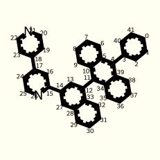 c1ccc(-c2c3ccccc3c(-c3cc(-c4cc(-c5ccncc5)ccn4)cc4ccccc34)c3ccccc23)cc1